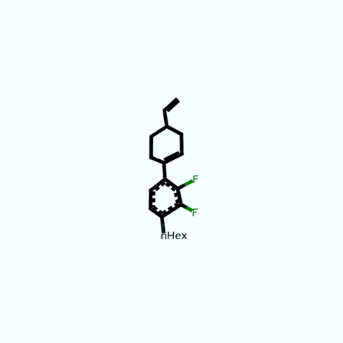 C=CC1CC=C(c2ccc(CCCCCC)c(F)c2F)CC1